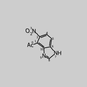 CC(=O)c1c([N+](=O)[O-])ccc2[nH]cnc12